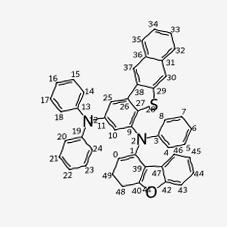 C1=C(N(c2ccccc2)c2cc(N(c3ccccc3)c3ccccc3)cc3c2sc2cc4ccccc4cc23)c2c(oc3ccccc23)CC1